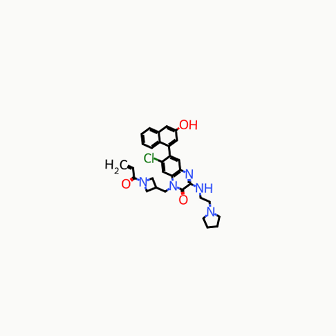 C=CC(=O)N1CC(Cn2c(=O)c(NCCN3CCCC3)nc3cc(-c4cc(O)cc5ccccc45)c(Cl)cc32)C1